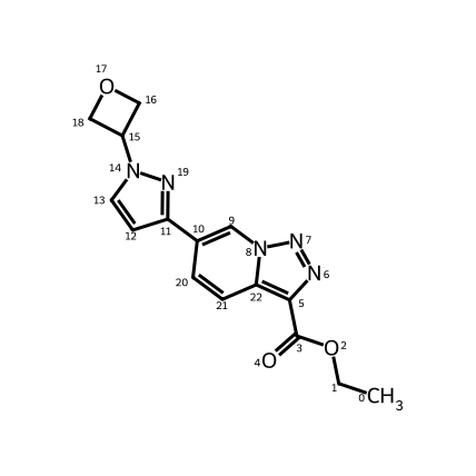 CCOC(=O)c1nnn2cc(-c3ccn(C4COC4)n3)ccc12